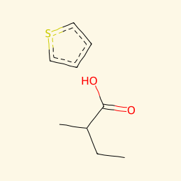 CCC(C)C(=O)O.c1ccsc1